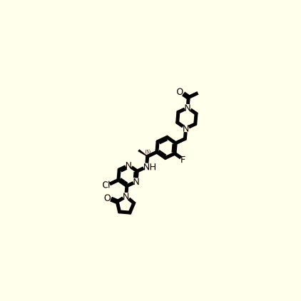 CC(=O)N1CCN(Cc2ccc([C@H](C)Nc3ncc(Cl)c(N4CCCC4=O)n3)cc2F)CC1